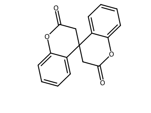 O=C1CC2(CC(=O)Oc3ccccc32)c2ccccc2O1